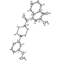 COc1cccc(N2CCN(C(=O)c3nn(C)c(=O)c4ccncc34)CC2)c1